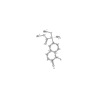 CC(C)OC(=O)[C@@](N)(CC(C)(C)C)c1ccc2c(ccc(=O)n2C)c1